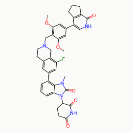 COc1cc(-c2c[nH]c(=O)c3c2CCC3)cc(OC)c1CN1CCc2cc(-c3cccc4c3n(C)c(=O)n4C3CCC(=O)NC3=O)cc(F)c2C1